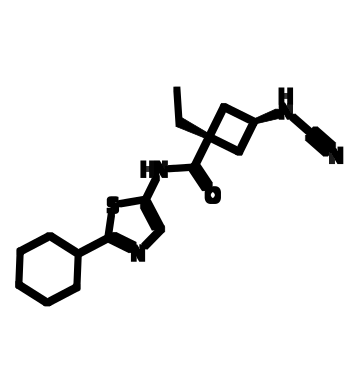 CC[C@]1(C(=O)Nc2cnc(C3CCCCC3)s2)C[C@H](NC#N)C1